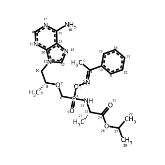 C/C(=N\OP(=O)(CO[C@H](C)Cn1cnc2c(N)ncnc21)N[C@@H](C)C(=O)OC(C)C)c1ccccc1